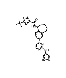 CC(C)(C)c1nc(C(=O)N[C@@H]2CCCCc3cc(-c4ccnc(Nc5cn[nH]c5)n4)ccc32)no1